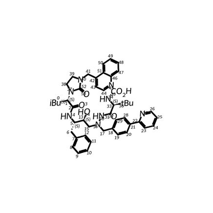 CC[C@H](C)[C@@H](C(=O)N[C@@H](Cc1ccccc1)[C@@H](O)CN(Cc1ccc(-c2ccccn2)cc1)NC(=O)[C@@H](NC(=O)O)C(C)(C)C)N1CCN(Cc2ccnc3ccccc23)C1=O